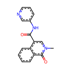 Cn1cc(C(=O)Nc2cccnc2)c2ccccc2c1=O